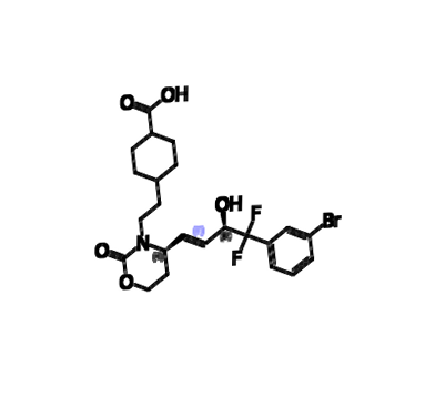 O=C(O)C1CCC(CCN2C(=O)OCC[C@@H]2/C=C/[C@@H](O)C(F)(F)c2cccc(Br)c2)CC1